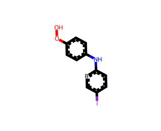 OOc1ccc(Nc2bcc(I)cc2)cc1